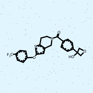 O=C(c1ccc(C2(O)COC2)cc1)N1CCc2sc(Oc3ccc(C(F)(F)F)cc3)cc2C1